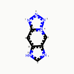 c1nc2cn3nnnc3cc2[nH]1